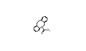 CC(=O)N1Cc2ccccc2CCc2ccccc21